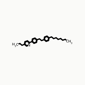 CCCCCCCCc1ccc(CCc2ccc(-c3ccc(CCC)cn3)cc2)cc1